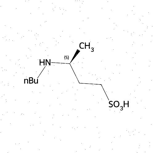 CCCCN[C@@H](C)CCS(=O)(=O)O